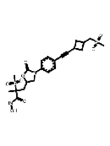 CC(CC1CN(c2ccc(C#CC3CC(CS(C)(=O)=O)C3)cc2)C(=O)O1)(C(=O)NO)S(C)(=O)=O